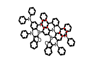 c1ccc(-c2cccc(-c3ccccc3)c2N2c3cc4c(cc3B3c5oc6ccccc6c5N(c5ccccc5)c5cc(N(c6ccccc6)c6ccccc6)cc2c53)B2c3oc5ccccc5c3N(c3ccccc3)c3cc(N(c5ccccc5)c5ccccc5)cc(c32)N4c2ccccc2)cc1